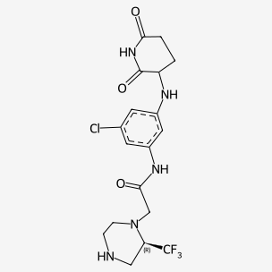 O=C1CCC(Nc2cc(Cl)cc(NC(=O)CN3CCNC[C@@H]3C(F)(F)F)c2)C(=O)N1